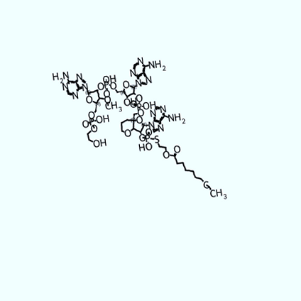 CCCCCCCCCC(=O)OCCSP(=O)(O)OC1C2OCCC[C@]2(COP(=O)(O)OC2C(O)[C@@H](COP(=O)(O)OC3C(OC)[C@@H](COP(=O)(O)OCCO)O[C@H]3n3cnc4c(N)ncnc43)O[C@H]2n2cnc3c(N)ncnc32)O[C@H]1n1cnc2c(N)ncnc21